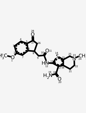 COc1ccc2c(c1)C(CC(=O)Nc1sc3c(c1C(N)=O)CCN(C)C3)CC2=O